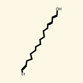 CCC=CCCCCCCCCCCC=CC=CO